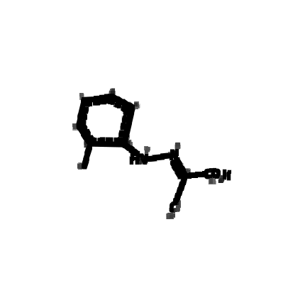 Cc1ccccc1NN=C(Cl)C(=O)O